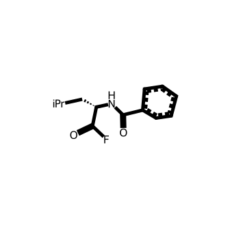 CC(C)C[C@H](NC(=O)c1ccccc1)C(=O)F